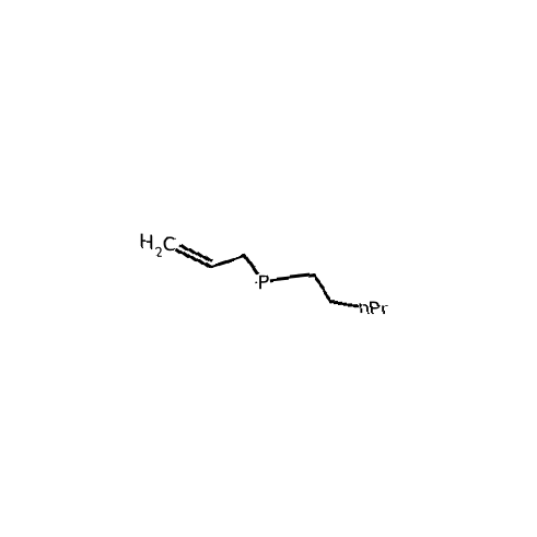 C=CC[P]CCCCC